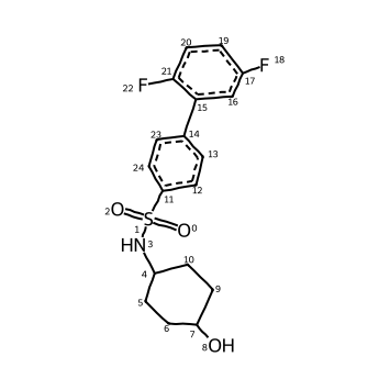 O=S(=O)(NC1CCC(O)CC1)c1ccc(-c2cc(F)ccc2F)cc1